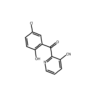 N#Cc1cccnc1C(=O)c1cc(Cl)ccc1O